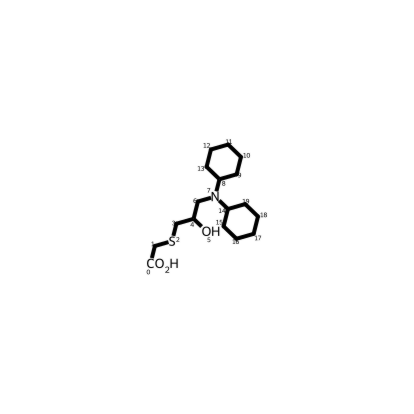 O=C(O)CSCC(O)CN(C1CCCCC1)C1CCCCC1